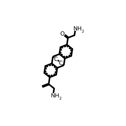 C=C(CN)c1ccc2c(c1)C1CCC2c2cc(C(=O)CN)ccc21